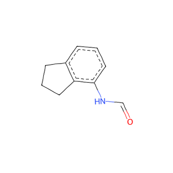 O=CNc1cccc2c1CCC2